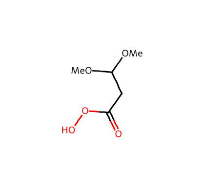 COC(CC(=O)OO)OC